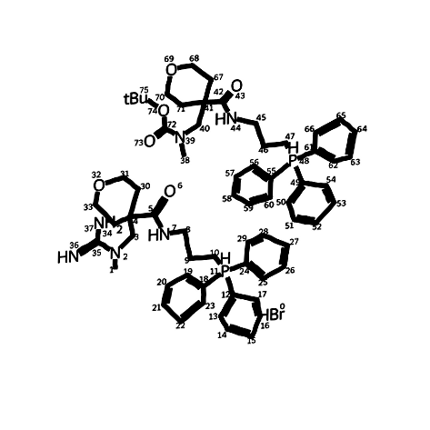 Br.CN(CC1(C(=O)NCCC[PH](c2ccccc2)(c2ccccc2)c2ccccc2)CCOCC1)C(=N)N.CN(CC1(C(=O)NCCC[PH](c2ccccc2)(c2ccccc2)c2ccccc2)CCOCC1)C(=O)OC(C)(C)C